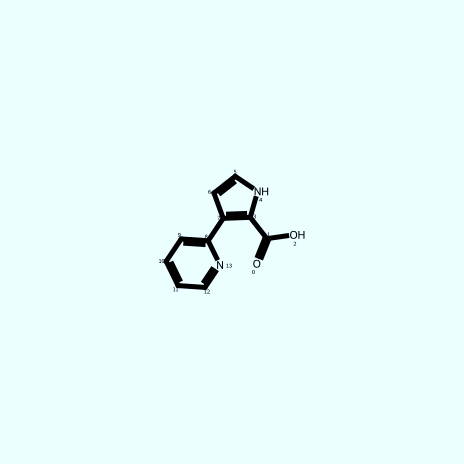 O=C(O)c1[nH]ccc1-c1ccccn1